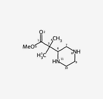 COC(=O)C(C)(C)C1CNCCN1